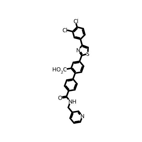 O=C(NCc1cccnc1)c1ccc(-c2ccc(-c3nc(-c4ccc(Cl)c(Cl)c4)cs3)cc2C(=O)O)cc1